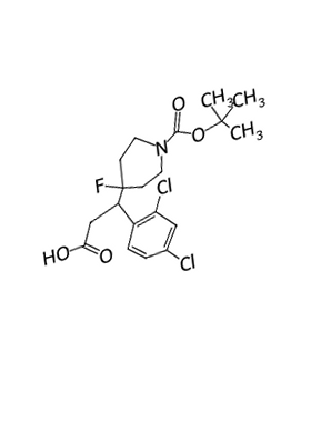 CC(C)(C)OC(=O)N1CCC(F)(C(CC(=O)O)c2ccc(Cl)cc2Cl)CC1